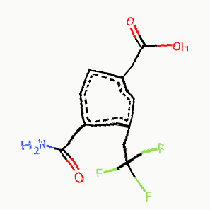 NC(=O)c1ccc(C(=O)O)cc1C(F)(F)F